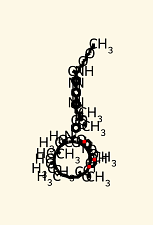 CCCOCCOCCNC(=O)c1cnc(N2CCN(c3ncc(CN(C)C(=O)O[C@@H]4CC[C@@H](C[C@@H](N)C5CC(=O)[C@H](C)/C=C(\C)[C@@H](O)[C@@H](O)C(=O)[C@H](C)C[C@H](C)/C=C/C=C/C=C(\C)[C@@H](OC)C[C@@H]6CC[C@@H](C)[C@@](O)(O6)C(=O)C(=O)N6CCCC[C@H]6C(=O)O5)C[C@H]4OC)cn3)CC2)nc1